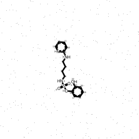 O=S(=O)(NCCCCNc1ccccn1)Oc1ccccc1O